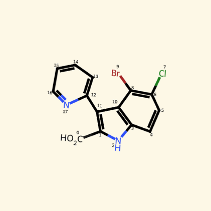 O=C(O)c1[nH]c2ccc(Cl)c(Br)c2c1-c1ccccn1